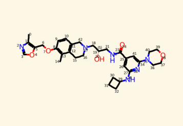 Cc1ncoc1COc1ccc2c(c1C)CCN(C[C@@H](O)CNC(=O)c1cc(NC3CCC3)nc(N3CCOCC3)c1)C2